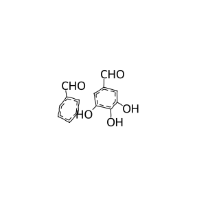 O=Cc1cc(O)c(O)c(O)c1.O=Cc1ccccc1